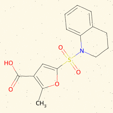 Cc1oc(S(=O)(=O)N2CCCc3ccccc32)cc1C(=O)O